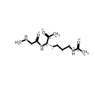 CNCC(=O)N[C@@H](CCCCNC(C)=O)C(C)=O